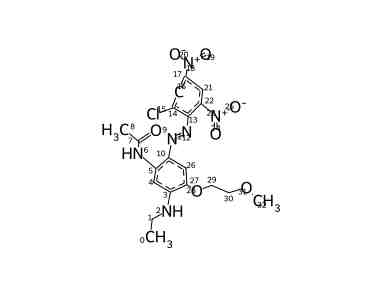 CCNc1cc(NC(C)=O)c(N=Nc2c(Cl)cc([N+](=O)[O-])cc2[N+](=O)[O-])cc1OCCOC